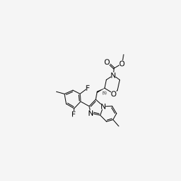 COC(=O)N1CCO[C@@H](Cc2c(-c3c(F)cc(C)cc3F)nc3cc(C)ccn23)C1